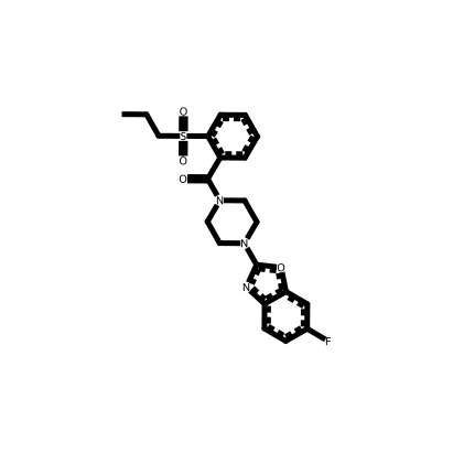 CCCS(=O)(=O)c1ccccc1C(=O)N1CCN(c2nc3ccc(F)cc3o2)CC1